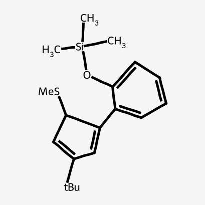 CSC1C=C(C(C)(C)C)C=C1c1ccccc1O[Si](C)(C)C